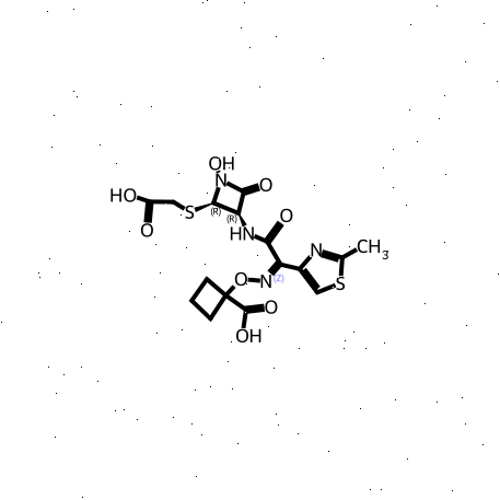 Cc1nc(/C(=N/OC2(C(=O)O)CCC2)C(=O)N[C@@H]2C(=O)N(O)[C@@H]2SCC(=O)O)cs1